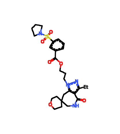 CCc1nn(CCCOC(=O)c2cccc(S(=O)(=O)N3CCCC3)c2)c2c1C(=O)NCC1(CCOCC1)C2